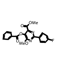 COC(=O)c1nc(-c2ccc(F)cc2)nc(OC)c1OC(=O)c1ccccc1